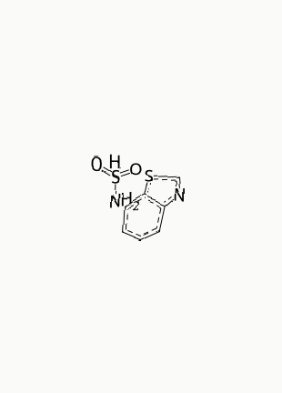 N[SH](=O)=O.c1ccc2scnc2c1